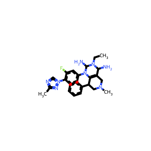 CCN1C(N)C2=C(C(c3ccccc3)CN(C)C2)N(c2ccc(-n3cnc(C)n3)c(F)c2)C1N